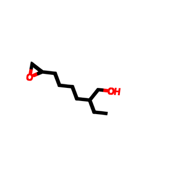 CCC(CO)CCCCC1CO1